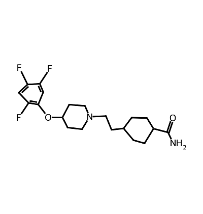 NC(=O)C1CCC(CCN2CCC(Oc3cc(F)c(F)cc3F)CC2)CC1